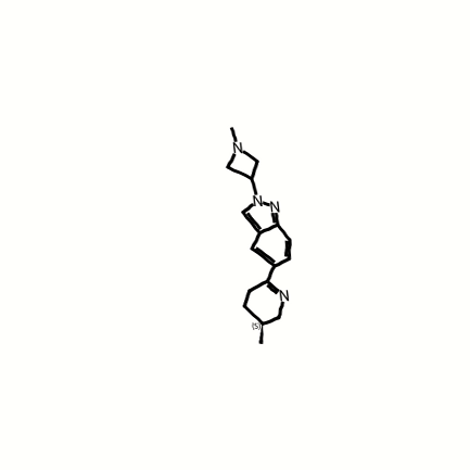 C[C@H]1CCC(c2ccc3nn(C4CN(C)C4)cc3c2)=NC1